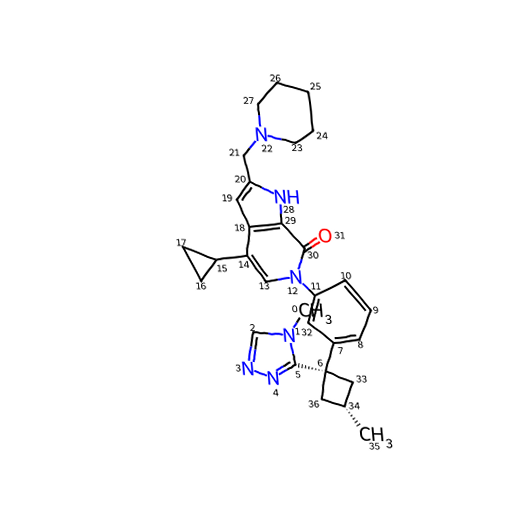 Cn1cnnc1[C@]1(c2cccc(-n3cc(C4CC4)c4cc(CN5CCCCC5)[nH]c4c3=O)c2)C[C@H](C)C1